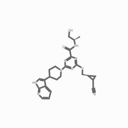 C[C@H](CO)NC(=O)c1nc(OC[C@H]2CC2C#N)nc(N2CCC(c3c[nH]c4ncccc34)CC2)n1